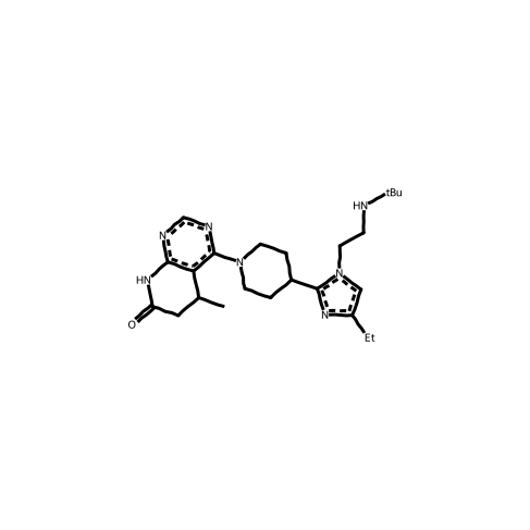 CCc1cn(CCNC(C)(C)C)c(C2CCN(c3ncnc4c3C(C)CC(=O)N4)CC2)n1